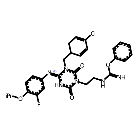 CC(C)Oc1ccc(/N=c2\[nH]c(=O)n(CCNC(=N)Oc3ccccc3)c(=O)n2CC2C=CC(Cl)=CC2)cc1F